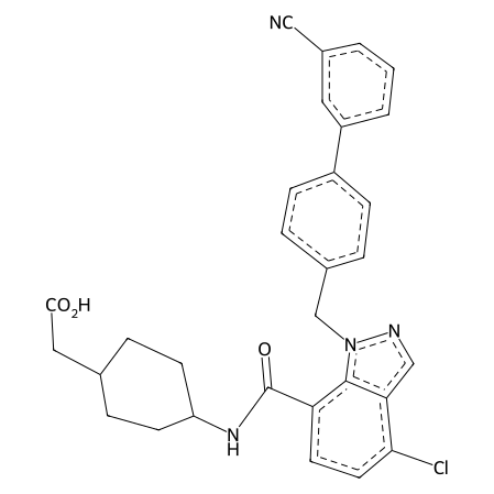 N#Cc1cccc(-c2ccc(Cn3ncc4c(Cl)ccc(C(=O)NC5CCC(CC(=O)O)CC5)c43)cc2)c1